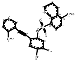 COc1ccncc1C#Cc1cc(Br)c(F)cc1NS(=O)(=O)c1ccc(OC)c2cccnc12